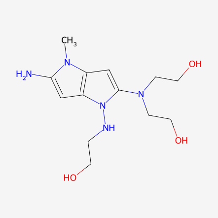 Cn1c(N)cc2c1cc(N(CCO)CCO)n2NCCO